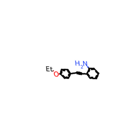 CCOc1ccc(C#Cc2ccccc2N)cc1